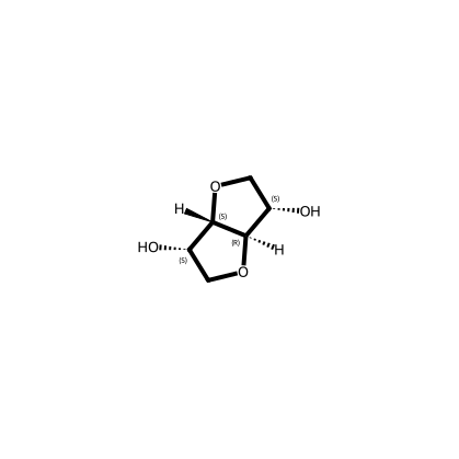 O[C@H]1CO[C@H]2[C@H]1OC[C@@H]2O